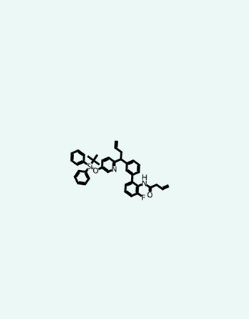 C=CCC(=O)Nc1c(F)cccc1-c1cccc(C(CC=C)c2ccc(O[Si](c3ccccc3)(c3ccccc3)C(C)(C)C)cn2)c1